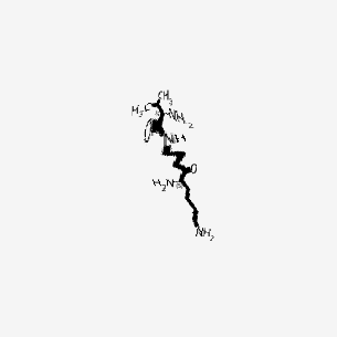 CC(C)[C@H](N)C(=O)NCCCC(=O)[C@@H](N)CCCCN